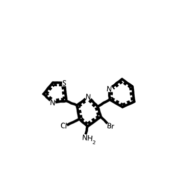 Nc1c(Cl)c(-c2nccs2)nc(-c2ccccn2)c1Br